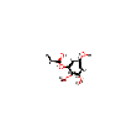 CCC(=O)Oc1cc(OC)cc(OC)c1OC